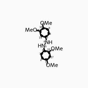 COc1ccc(NNc2ccc(OC)c(OC)c2)c(OC)c1